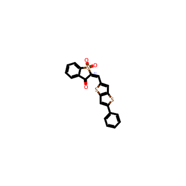 O=C1/C(=C\c2cc3sc(-c4ccccc4)cc3s2)S(=O)(=O)c2ccccc21